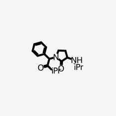 CC(C)NC1CCN(C(C(=O)C(C)C)c2ccccc2)C1=O